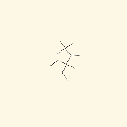 CCC(C)(CC)P(C)C(C)(C)C